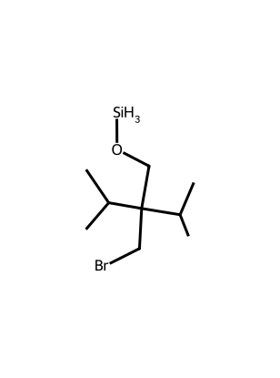 CC(C)C(CBr)(CO[SiH3])C(C)C